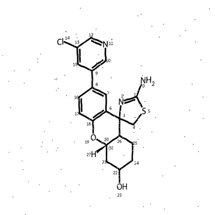 NC1=NC2(CS1)c1cc(-c3cncc(Cl)c3)ccc1O[C@H]1CC(O)CCC12